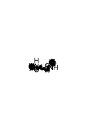 C=C(CCCC(=C)C(=O)Nc1ccccc1)C(=O)Nc1ccccc1